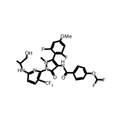 COc1cc(F)c(-c2c(NC(=O)c3ccc(OC(F)F)cc3)c(=O)n(-c3nc(NC(C)CO)ccc3C(F)(F)F)n2C)c(F)c1